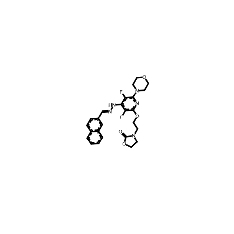 O=C1OCCN1CCOc1nc(N2CCOCC2)c(F)c(NN=Cc2ccc3ccccc3c2)c1F